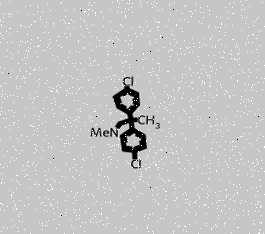 CNCC(C)(c1ccc(Cl)cc1)c1ccc(Cl)cc1